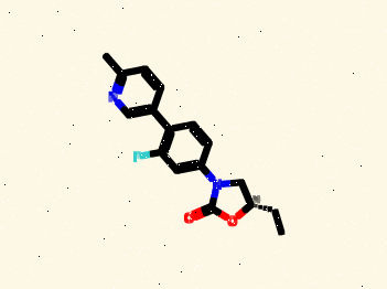 CC[C@H]1CN(c2ccc(-c3ccc(C)nc3)c(F)c2)C(=O)O1